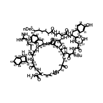 CCCCCCCCCCCCCCCC(=O)NCCC(=O)N[C@@H](Cc1ccc(O)cc1)C(=O)N[C@@H](CO)C(=O)N[C@@H](CCCC)C(=O)N[C@H]1CCC(=O)CNCCCC[C@@H](C(N)=O)NC(=O)[C@H](Cc2c[nH]c3ccccc23)NC(=O)[C@H](CCCNC(=N)N)NC(=O)[C@@H](Cc2ccccc2)NC(=O)[C@@H]2C[C@@H](O)CN2C1=O